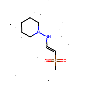 CS(=O)(=O)C=CNN1CCCCC1